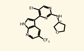 CCc1cnc(N[C@H]2CCOC2)nc1-c1c[nH]c2ncc(C(F)(F)F)cc12